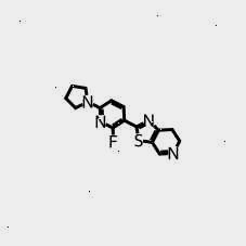 Fc1nc(N2CCCC2)ccc1-c1nc2c(s1)C=NCC2